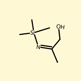 CC(CO)=N[Si](C)(C)C